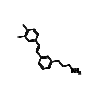 Cc1ccc(C=Cc2cccc(CCCN)c2)cc1C